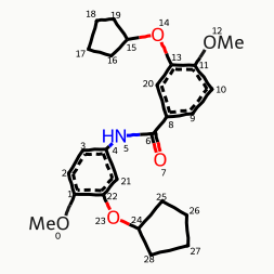 COc1ccc(NC(=O)c2ccc(OC)c(OC3CCCC3)c2)cc1OC1CCCC1